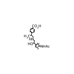 CC(=O)Nc1nc(C(O)CNCC(C)c2ccc(C(=O)O)cc2)cs1